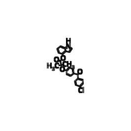 CC(C)(Oc1ccc(C(=O)c2ccc(Cl)cc2)cc1)C(=O)Oc1cccc2[nH]ccc12